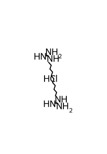 Cl.N=C(N)NCCCCCCCCCCCNC(=N)N